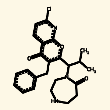 CC(C)C(c1oc2nc(Cl)ccc2c(=O)c1Cc1ccccc1)N1CCNCCC1=O